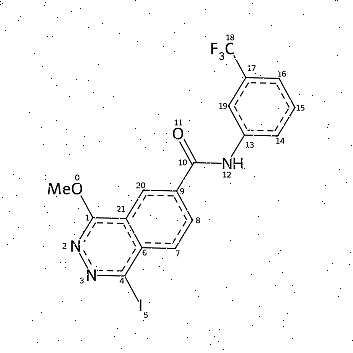 COc1nnc(I)c2ccc(C(=O)Nc3cccc(C(F)(F)F)c3)cc12